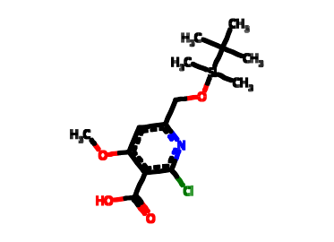 COc1cc(CO[Si](C)(C)C(C)(C)C)nc(Cl)c1C(=O)O